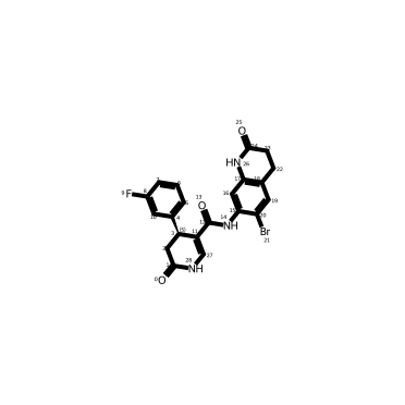 O=C1C[C@@H](c2cccc(F)c2)C(C(=O)Nc2cc3c(cc2Br)CCC(=O)N3)=CN1